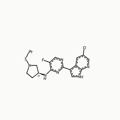 CC(C)SN1CC[C@H](Nc2nc(-c3c[nH]c4ncc(Cl)cc34)ncc2F)C1